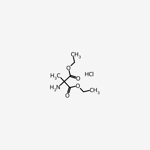 CCOC(=O)C(C)(N)C(=O)OCC.Cl